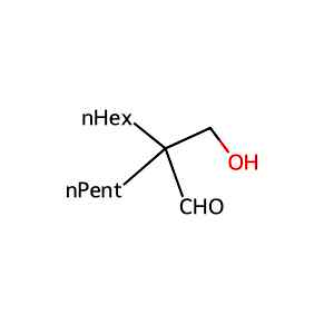 CCCCCCC(C=O)(CO)CCCCC